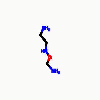 NCCNOCN